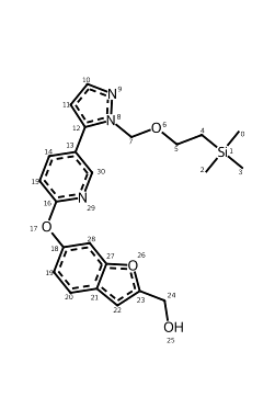 C[Si](C)(C)CCOCn1nccc1-c1ccc(Oc2ccc3cc(CO)oc3c2)nc1